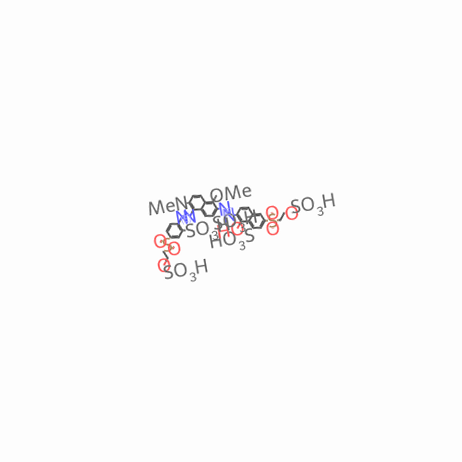 CNc1ccc2c(OC)c(/N=N/c3ccc4cc(S(=O)(=O)CCOS(=O)(=O)O)cc(S(=O)(=O)O)c4c3O)c(S(=O)(=O)O)cc2c1/N=N/c1ccc(S(=O)(=O)CCOS(=O)(=O)O)cc1S(=O)(=O)O